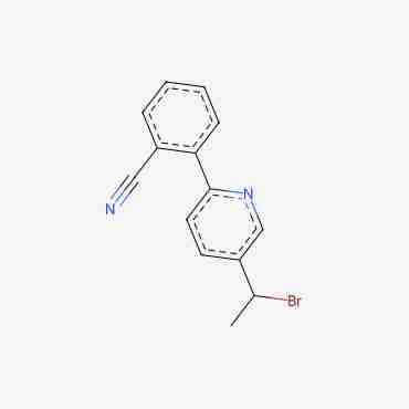 CC(Br)c1ccc(-c2ccccc2C#N)nc1